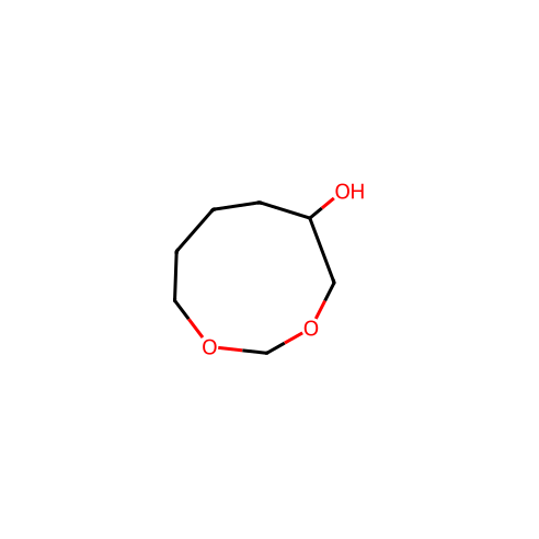 OC1CCCCOCOC1